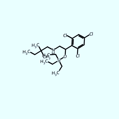 CCC(C)(C)CNCC(O[Si](CC)(CC)CC)c1c(Cl)cc(Cl)cc1Cl